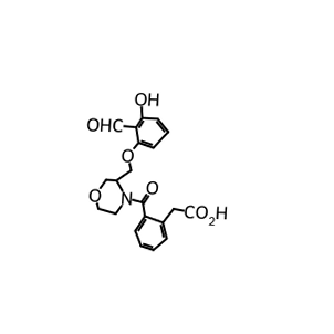 O=Cc1c(O)cccc1OCC1COCCN1C(=O)c1ccccc1CC(=O)O